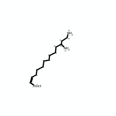 CCCCCCCC/C=C\CCCCCCCCC(N)CCN